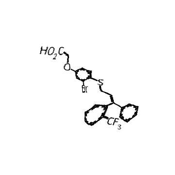 O=C(O)COc1ccc(SCC=C(c2ccccc2)c2ccccc2C(F)(F)F)c(Br)c1